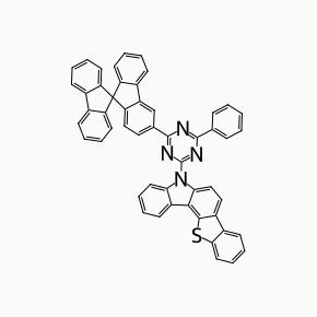 c1ccc(-c2nc(-c3ccc4c(c3)-c3ccccc3C43c4ccccc4-c4ccccc43)nc(-n3c4ccccc4c4c5sc6ccccc6c5ccc43)n2)cc1